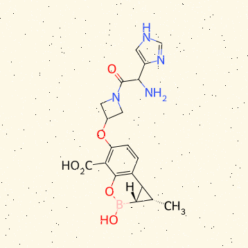 C[C@H]1C2c3ccc(OC4CN(C(=O)C(N)c5c[nH]cn5)C4)c(C(=O)O)c3OB(O)[C@H]21